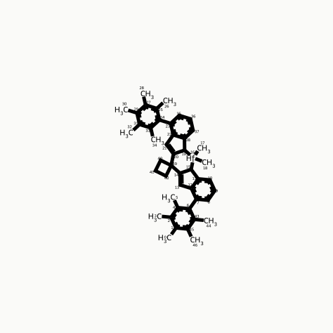 Cc1c(C)c(C)c(-c2cccc3c2C=C2[CH]3[Hf]([CH3])([CH3])[CH]3C(=Cc4c(-c5c(C)c(C)c(C)c(C)c5C)cccc43)C23CCC3)c(C)c1C